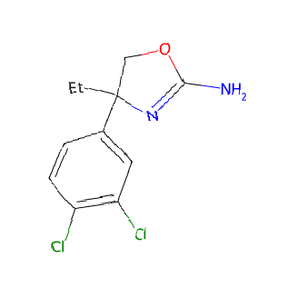 CCC1(c2ccc(Cl)c(Cl)c2)COC(N)=N1